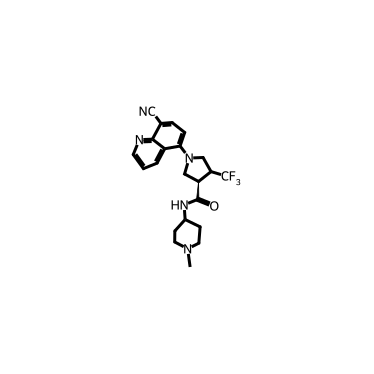 CN1CCC(NC(=O)[C@H]2CN(c3ccc(C#N)c4ncccc34)CC2C(F)(F)F)CC1